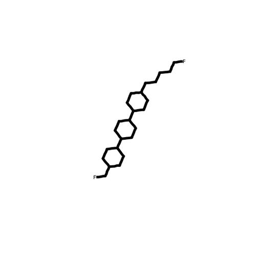 FCCCCCC1CCC(C2CCC(C3CCC(CF)CC3)CC2)CC1